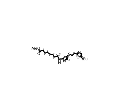 COC(=O)CCCCCCC(=O)Nc1ncc(SCCc2ncc(C(C)(C)C)o2)s1